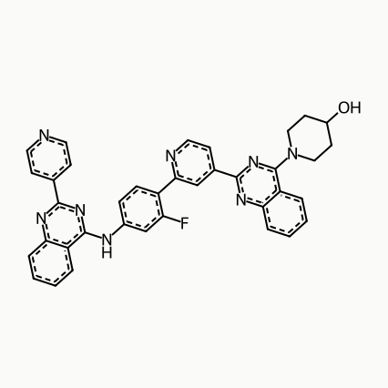 OC1CCN(c2nc(-c3ccnc(-c4ccc(Nc5nc(-c6ccncc6)nc6ccccc56)cc4F)c3)nc3ccccc23)CC1